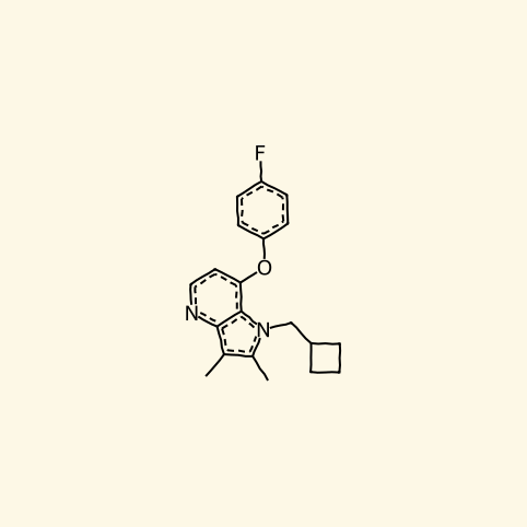 Cc1c(C)n(CC2CCC2)c2c(Oc3ccc(F)cc3)ccnc12